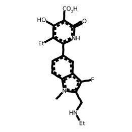 CCNCc1c(F)c2cc(-c3[nH]c(=O)c(C(=O)O)c(O)c3CC)ccc2n1C